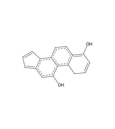 OC1=c2ccc3c4c(cc(O)c3c2CC=C1)=CC=C4